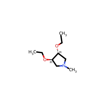 CCO[C@@H]1CN(C)C[C@H]1OCC